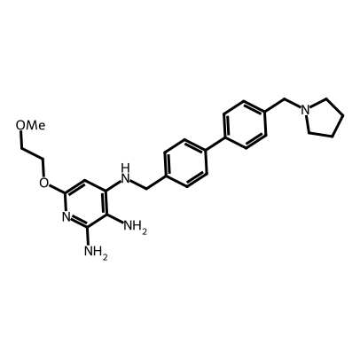 COCCOc1cc(NCc2ccc(-c3ccc(CN4CCCC4)cc3)cc2)c(N)c(N)n1